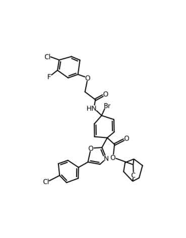 O=C(COc1ccc(Cl)c(F)c1)NC1(Br)C=CC(C(=O)OC2CC3CCC2CC3)(c2ncc(-c3ccc(Cl)cc3)o2)C=C1